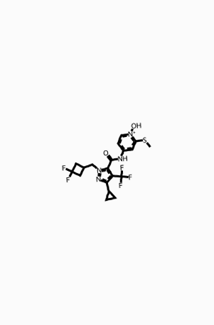 CSc1cc(NC(=O)c2c(C(F)(F)F)c(C3CC3)nn2CC2CC(F)(F)C2)cc[n+]1O